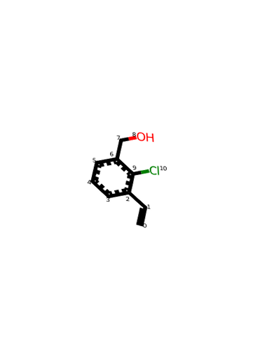 C=Cc1cccc([CH]O)c1Cl